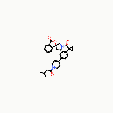 CC(C)CC(=O)N1CC=C(c2ccc(C3(C(=O)N4CCC5(C4)OC(=O)c4ccccc45)CC3)cc2)CC1